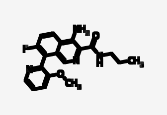 CCCNC(=O)c1ncc2c(-c3ncccc3OC)c(F)ccc2c1N